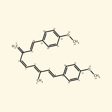 C=C(\C=C/C=C(C)/C=C/c1ccc(OC)cc1)/C=C/c1ccc(OC)cc1